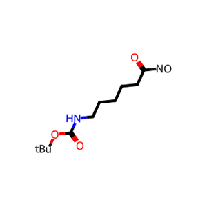 CC(C)(C)OC(=O)NCCCCCC(=O)N=O